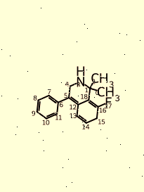 CC1(C)NCC(c2ccccc2)=C2C=CCC(F)=C21